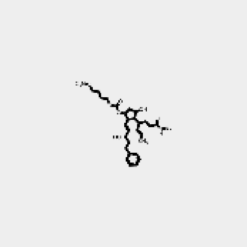 CC=CC(CCC(=O)NCC)C1C(O)CC(OC(=O)OCCCCO[N+](=O)[O-])C1C=C[C@@H](O)CCc1ccccc1